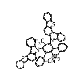 N#Cc1ccccc1-c1c(-n2c3ccccc3c3c4sc5ccccc5c4ccc32)c(C(F)(F)F)c(-n2c3ccccc3c3c4sc5ccccc5c4ccc32)c(-c2ccccc2C#N)c1C(F)(F)F